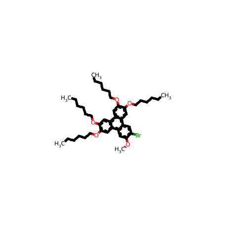 CCCCCCOc1cc2c3cc(Br)c(OC)cc3c3cc(OCCCCCC)c(OCCCCCC)cc3c2cc1OCCCCCC